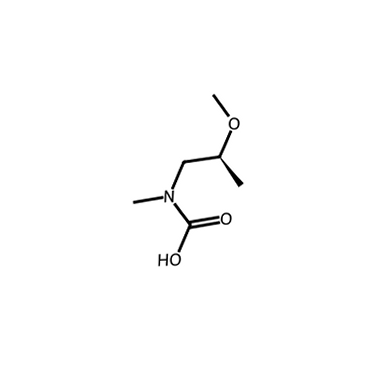 CO[C@@H](C)CN(C)C(=O)O